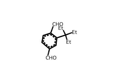 CCC(CC)(CC)c1cc(C=O)ccc1C=O